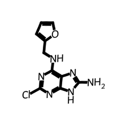 Nc1nc2c(NCc3ccco3)nc(Cl)nc2[nH]1